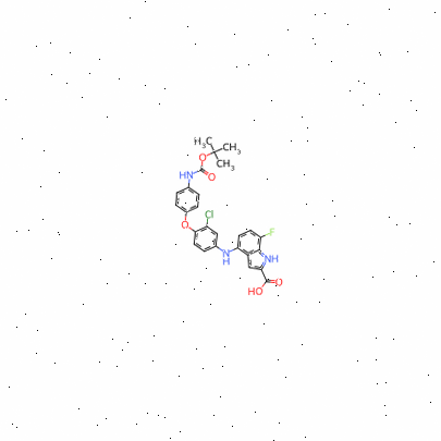 CC(C)(C)OC(=O)Nc1ccc(Oc2ccc(Nc3ccc(F)c4[nH]c(C(=O)O)cc34)cc2Cl)cc1